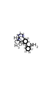 C\C1=C/C=C\C=C(/C)C(C)c2cc(-c3ccccc3N)ccc21